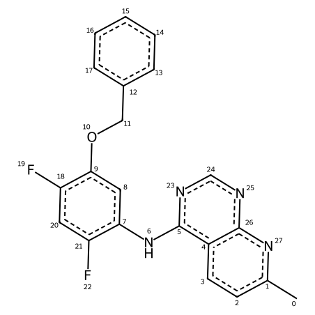 Cc1ccc2c(Nc3cc(OCc4ccccc4)c(F)cc3F)ncnc2n1